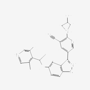 CC(Oc1ccc2[nH]nc(-c3cnc(N4CC(O)C4)c(C#N)c3)c2c1)c1c(Cl)cncc1Cl